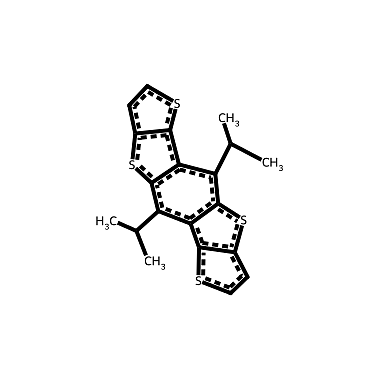 CC(C)c1c2sc3ccsc3c2c(C(C)C)c2sc3ccsc3c12